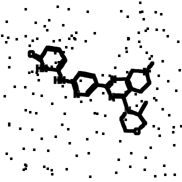 CC1COCCN1c1nc(-c2ccc(Nc3cccc(=O)[nH]3)nc2)nc2c1CCN(C)C2